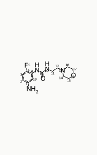 Nc1ccc(F)c(NC(=O)NCCN2CCOCC2)c1